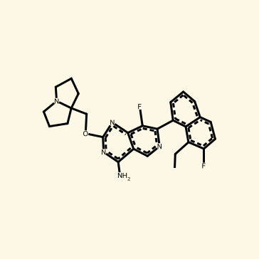 CCc1c(F)ccc2cccc(-c3ncc4c(N)nc(OCC56CCCN5CCC6)nc4c3F)c12